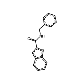 O=C(NCc1ccccc1)c1[c]c2ccccc2s1